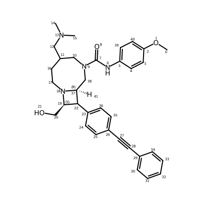 COc1ccc(NC(=O)N2CC(CN(C)C)CCN3[C@H](CO)C(c4ccc(C#Cc5ccccc5)cc4)[C@@H]3C2)cc1